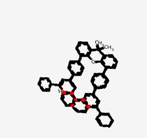 CC1(C)c2cccc(-c3ccc(C4=CC(c5ccccc5)NC(c5ccccc5)=C4)cc3)c2Oc2c(-c3ccc(-c4cc(C5=CCCC=C5)nc(-c5ccccc5)c4)cc3)cccc21